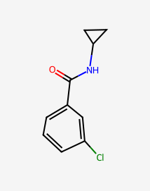 O=C(NC1CC1)c1cccc(Cl)c1